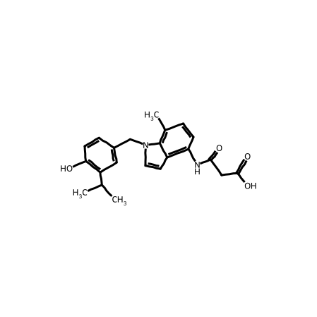 Cc1ccc(NC(=O)CC(=O)O)c2ccn(Cc3ccc(O)c(C(C)C)c3)c12